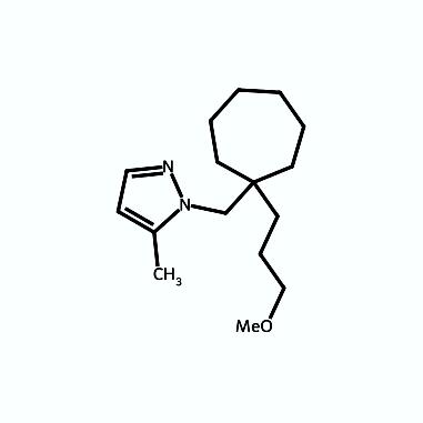 COCCCC1(Cn2nccc2C)CCCCCC1